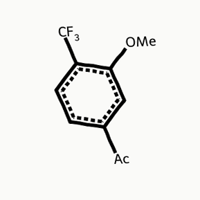 COc1cc(C(C)=O)ccc1C(F)(F)F